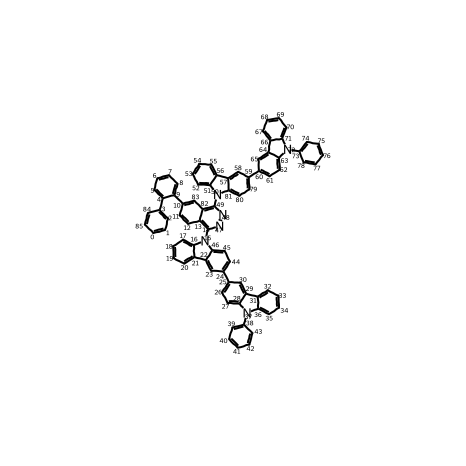 c1ccc(-c2ccccc2-c2ccc3c(-n4c5ccccc5c5cc(-c6ccc7c(c6)c6ccccc6n7-c6ccccc6)ccc54)nnc(-n4c5ccccc5c5cc(-c6ccc7c(c6)c6ccccc6n7-c6ccccc6)ccc54)c3c2)cc1